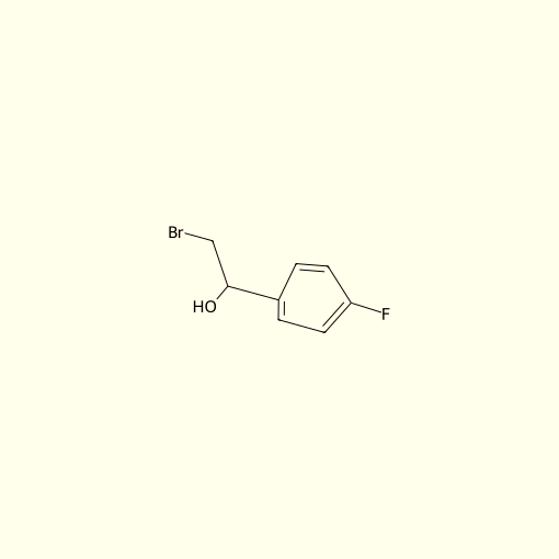 OC(CBr)c1ccc(F)cc1